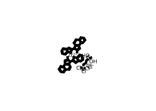 CC1=Cc2c(ccc3ccccc23)C1C1=Cc2ccccc2[CH]1[Zr+2][CH]1C(C2C(C)=Cc3c2ccc2ccccc32)=Cc2ccccc21.C[Si](O)(O)CCC[Si](Cl)(Cl)Cl.[Cl-].[Cl-]